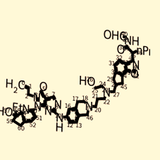 C=CCn1c(=O)c2cnc(Nc3ccc4c(c3)CCN(CCCN(CCO)CC3Cc5ccc6c(C(CCC)C(=O)NC=O)noc6c5C3)C4)nc2n1-c1ccc2c(n1)C(O)(CC)CC2